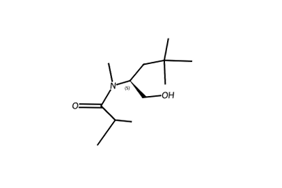 CC(C)C(=O)N(C)[C@H](CO)CC(C)(C)C